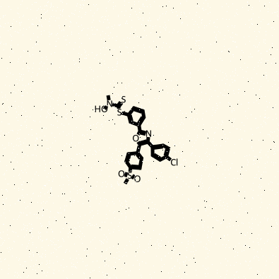 CN(O)C(=S)Sc1cccc(-c2nc(-c3ccc(Cl)cc3)c(-c3ccc(S(C)(=O)=O)cc3)o2)c1